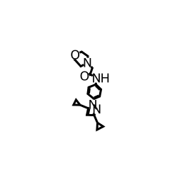 O=C(CN1CCOCC1)Nc1ccc(-n2nc(C3CC3)cc2C2CC2)cc1